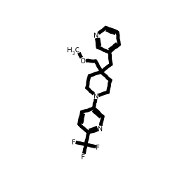 COCC1(Cc2cccnc2)CCN(c2ccc(C(F)(F)F)nc2)CC1